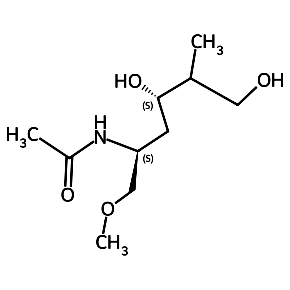 COC[C@H](C[C@H](O)C(C)CO)NC(C)=O